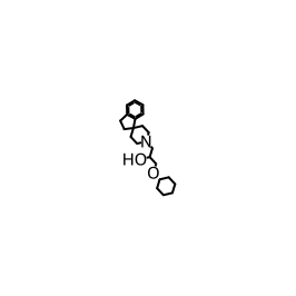 OC(COC1CCCCC1)CN1CCC2(CCc3ccccc32)CC1